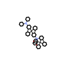 c1ccc(N(c2ccccc2)c2ccc3c(c2)-c2ccccc2C32c3ccccc3-c3cc(N(c4ccccc4)c4cccc5c4C(c4ccccc4)(c4ccccc4)c4ccccc4-5)ccc32)cc1